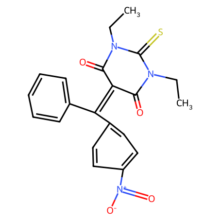 CCN1C(=O)C(=C(c2ccccc2)c2ccc([N+](=O)[O-])cc2)C(=O)N(CC)C1=S